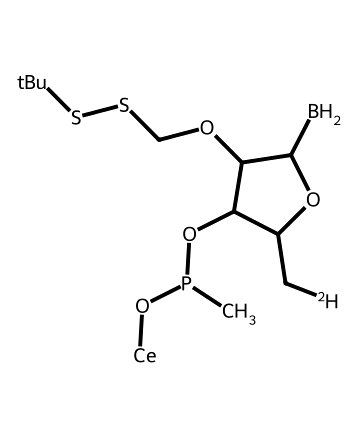 [2H]CC1OC(B)C(OCSSC(C)(C)C)C1OP(C)[O][Ce]